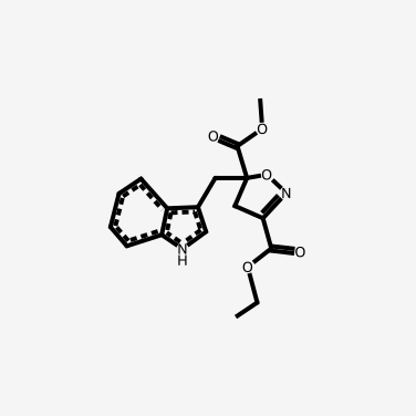 CCOC(=O)C1=NOC(Cc2c[nH]c3ccccc23)(C(=O)OC)C1